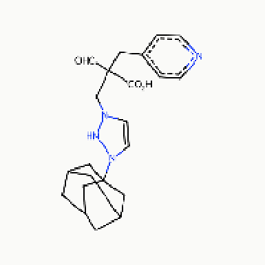 O=CC(Cc1ccncc1)(CN1C=CN(C23CC4CC(CC(C4)C2)C3)N1)C(=O)O